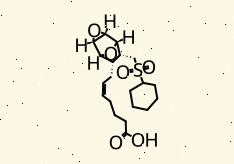 O=C(O)CCC/C=C\C[C@H]1[C@@H](CS(=O)(=O)C2CCCCC2)[C@@H]2O[C@H]1[C@@H]1O[C@@H]12